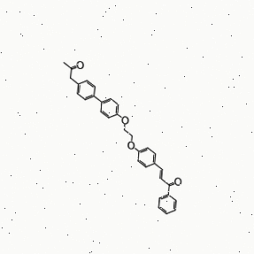 CC(=O)Cc1ccc(-c2ccc(OCCOc3ccc(/C=C/C(=O)c4ccccc4)cc3)cc2)cc1